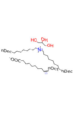 CCCCCCCC/C=C\CCCCCCCC(=O)[O-].CCCCCCCCCCCCCCCCCC[N+](C)(C)CCCCCCCCCCCCCCCCCC.OCC(O)CO